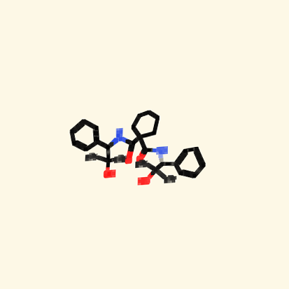 CCCC(O)(CCC)[C@H](NC(=O)C1(C(=O)N[C@H](c2ccccc2)C(O)(CCC)CCC)CCCCC1)c1ccccc1